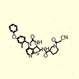 Cc1cc(Oc2ccccc2)ccc1N1C(=O)NC2c3c1ccnc3SC2NC(=O)C1CCCN(C(=O)CC#N)C1